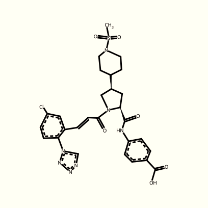 CS(=O)(=O)N1CCC([C@H]2C[C@@H](C(=O)Nc3ccc(C(=O)O)cc3)N(C(=O)C=Cc3cc(Cl)ccc3-n3cnnn3)C2)CC1